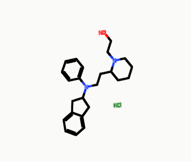 Cl.OCCN1CCCCC1CCN(c1ccccc1)C1Cc2ccccc2C1